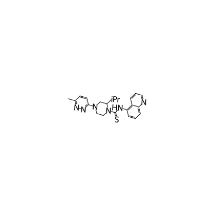 Cc1ccc(N2CCN(C(=S)Nc3cccc4ncccc34)C(C(C)C)C2)nn1